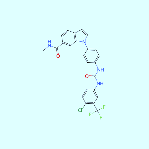 CNC(=O)c1ccc2ccn(-c3ccc(NC(=O)Nc4ccc(Cl)c(C(F)(F)F)c4)cc3)c2c1